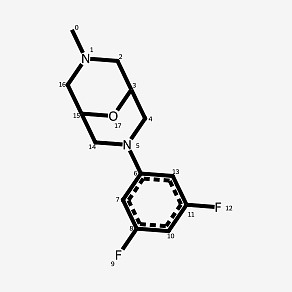 CN1CC2CN(c3cc(F)cc(F)c3)CC(C1)O2